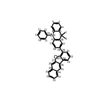 CC1(C)c2ccccc2N(c2ccccc2)c2ccc(-c3cccc4c3oc3cc5ccccc5cc34)cc21